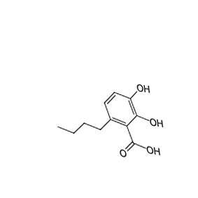 CCCCc1ccc(O)c(O)c1C(=O)O